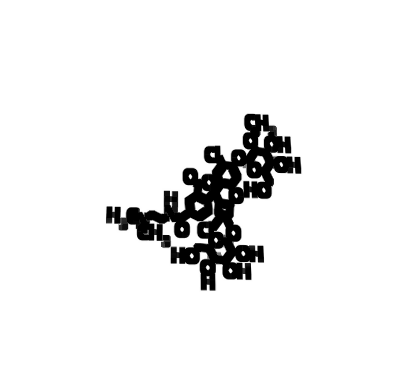 C=COC1C(O)[C@@H](O)C(CO)O[C@H]1Oc1cc2c(cc1Cl)C1(OC(=O)c3cc(C(=O)NCCN(C)C)ccc31)c1cc(Cl)c(O[C@H]3OC(CO)[C@@H](O)C(O)C3O)cc1O2